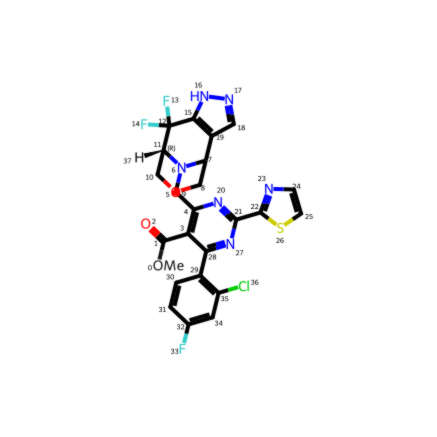 COC(=O)c1c(CN2C3COC[C@@H]2C(F)(F)c2[nH]ncc23)nc(-c2nccs2)nc1-c1ccc(F)cc1Cl